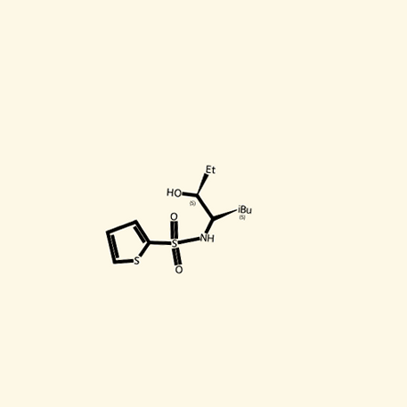 CC[C@H](C)C(NS(=O)(=O)c1cccs1)[C@@H](O)CC